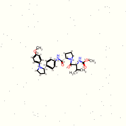 COC(=O)N[C@H](C(=O)N1CCC[C@H]1C(=O)Nc1ccc([C@@H]2CCCN2c2ccc(OC)cc2)cc1)C(C)C